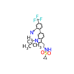 CC(C)(C)Cn1cc(CCNS(=O)(=O)C2CC2)c2ccc(-c3ccc(C(F)(F)F)cc3C#N)cc21